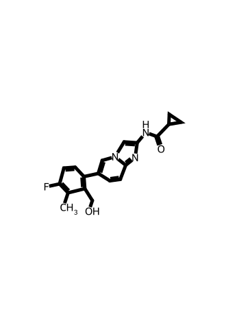 Cc1c(F)ccc(-c2ccc3nc(NC(=O)C4CC4)cn3c2)c1CO